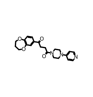 O=C(CCC(=O)N1CCN(c2ccncc2)CC1)c1ccc2c(c1)OCCCO2